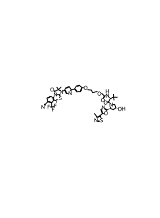 Cc1ncsc1-c1cnc([C@@H]2C[C@@H](O)CN2C(=O)[C@@H](NC(=O)COCCCCOc2ccc(-c3ccc(N4C(=S)N(c5ccc(C#N)c(C(F)(F)F)c5F)C(=O)C4(C)C)cn3)cc2)C(C)(C)C)o1